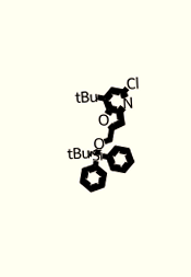 CC(C)(C)c1cc(Cl)nc2cc(CO[Si](c3ccccc3)(c3ccccc3)C(C)(C)C)oc12